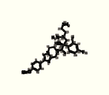 COc1ccc(-c2cn3c(n2)CN([C@H](C)[C@](O)(CN(N)CCN)c2ccc(F)cc2F)CC3)cc1